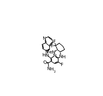 CN[C@@H]1[C@H](Nc2nc(Nc3ccc4ncccc4c3)c(C(N)=O)cc2F)CCCC1(F)F